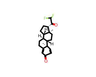 C[C@]12CC[C@H]3[C@@H](CCC4=CC(=O)C=C[C@@]43C)[C@@H]1CC[C@@H]2C(=O)C(F)F